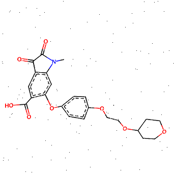 CN1C(=O)C(=O)c2cc(C(=O)O)c(Oc3ccc(OCCOC4CCOCC4)cc3)cc21